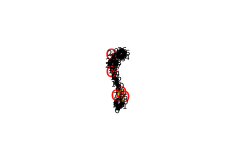 Cc1ccc(S(=O)(=O)OCCCCCCOc2ccc(C(=O)c3ccccc3)cc2)cc1